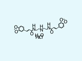 Cl.O.O=C(C=Cc1ccc2c(c1)OCO2)NCCNCCNC(=O)C=Cc1ccc2c(c1)OCO2